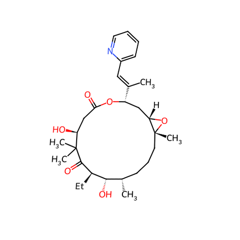 CC[C@H]1C(=O)C(C)(C)[C@@H](O)CC(=O)O[C@H](C(C)=Cc2ccccn2)C[C@@H]2O[C@]2(C)CCC[C@H](C)[C@@H]1O